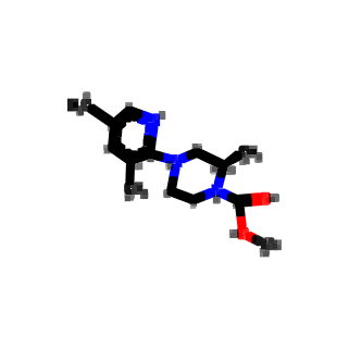 Cc1cnc(N2CCN(C(=O)OC(C)(C)C)[C@H](C)C2)c(C)c1